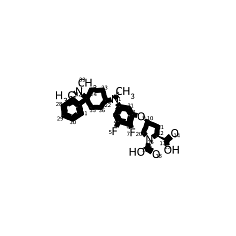 CN(c1cc(F)c(F)c(O[C@H]2C[C@@H](C(=O)O)N(C(=O)O)C2)c1)C1CCC(c2ccccc2)(N(C)C)CC1